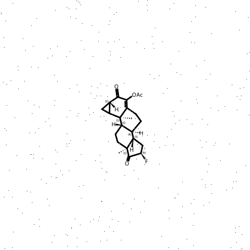 CC(=O)OC1=C2CC[C@H]3[C@@H]4C[C@@H](F)C(=O)[C@@]4(C)CC[C@@H]3[C@@]2(C)C2C[C@@H]2C1=O